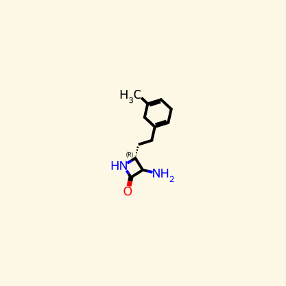 CC1=CCC=C(CC[C@H]2NC(=O)C2N)C1